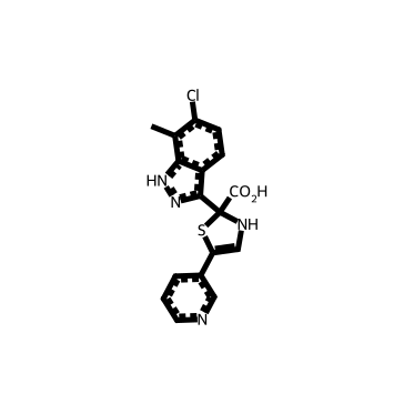 Cc1c(Cl)ccc2c(C3(C(=O)O)NC=C(c4cccnc4)S3)n[nH]c12